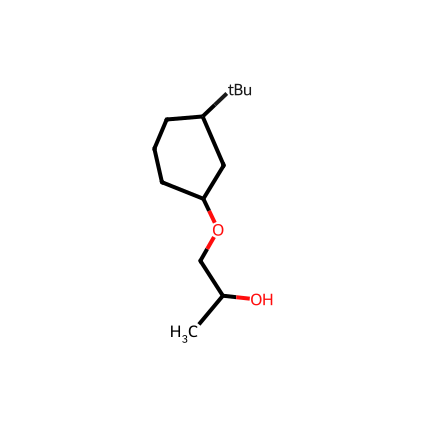 CC(O)COC1CCCC(C(C)(C)C)C1